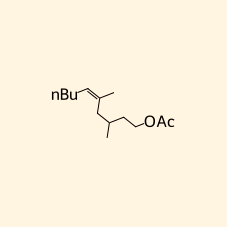 CCCCC=C(C)CC(C)CCOC(C)=O